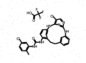 Cc1ccc(Cl)cc1NC(=O)Nc1ccc2cc1CCc1cccc(c1)Nc1ncc(Cl)c(n1)N2.O=C(O)C(F)(F)F